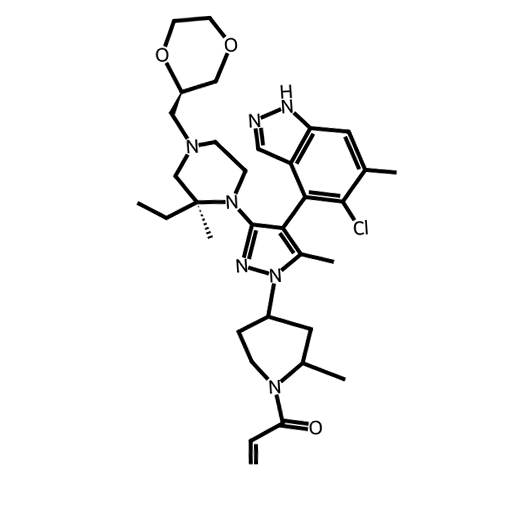 C=CC(=O)N1CCC(n2nc(N3CCN(C[C@@H]4COCCO4)C[C@]3(C)CC)c(-c3c(Cl)c(C)cc4[nH]ncc34)c2C)CC1C